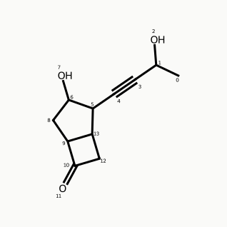 CC(O)C#CC1C(O)CC2C(=O)CC21